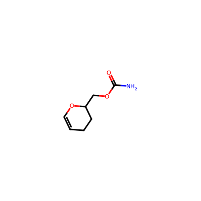 NC(=O)OCC1CCC=CO1